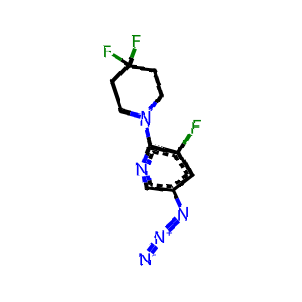 [N-]=[N+]=Nc1cnc(N2CCC(F)(F)CC2)c(F)c1